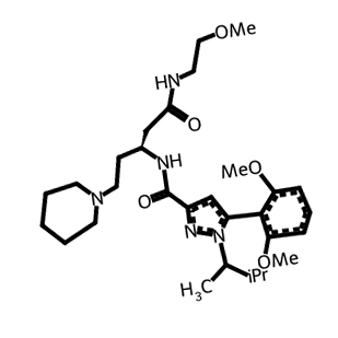 COCCNC(=O)C[C@H](CCN1CCCCC1)NC(=O)c1cc(-c2c(OC)cccc2OC)n(C(C)C(C)C)n1